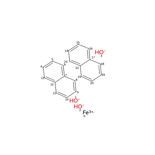 [Fe+3].[OH-].[OH-].[OH-].c1ccc2ccccc2c1.c1ccc2ccccc2c1